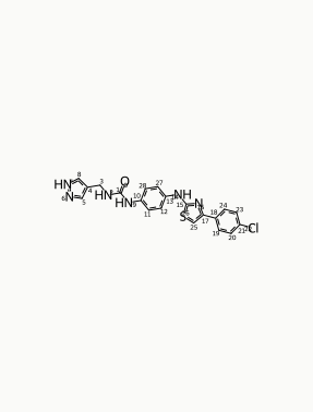 O=C(NCc1cn[nH]c1)Nc1ccc(Nc2nc(-c3ccc(Cl)cc3)cs2)cc1